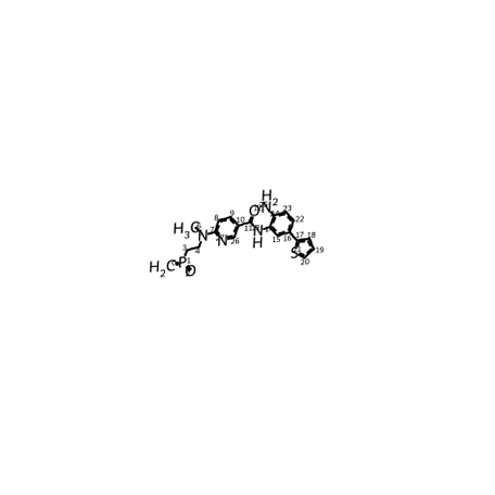 C=P(=O)CCN(C)c1ccc(C(=O)Nc2cc(-c3cccs3)ccc2N)cn1